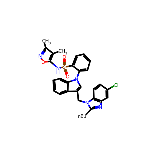 CCCCc1nc2cc(Cl)ccc2n1Cc1cn(-c2ccccc2S(=O)(=O)Nc2onc(C)c2C)c2ccccc12